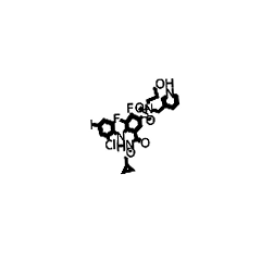 O=C(NOCC1CC1)c1cc(S(=O)(=O)N(CCCO)Cc2cccnc2)c(F)c(F)c1Nc1ccc(I)cc1Cl